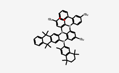 Cc1cc2c(cc1N1c3cc4c(cc3B3c5cc(C(C)(C)C)ccc5N(c5ccc(C(C)(C)C)cc5-c5ccccc5)c5cc(C(C)(C)C)cc1c53)C(C)(C)c1ccccc1C4(C)C)C(C)(C)CCC2(C)C